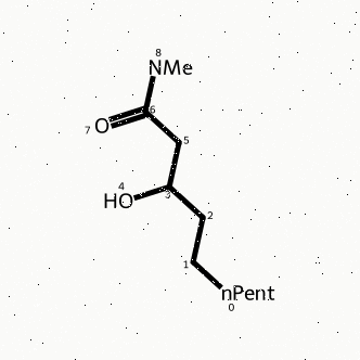 CCCCCCCC(O)CC(=O)NC